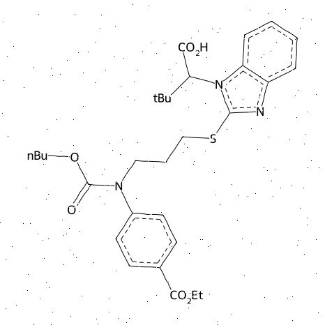 CCCCOC(=O)N(CCCSc1nc2ccccc2n1C(C(=O)O)C(C)(C)C)c1ccc(C(=O)OCC)cc1